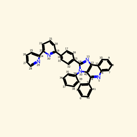 c1ccc(-c2nc3ccccc3c3nc(-c4ccc(-c5cccc(-c6ccccn6)n5)cc4)n(-c4ccccc4)c23)cc1